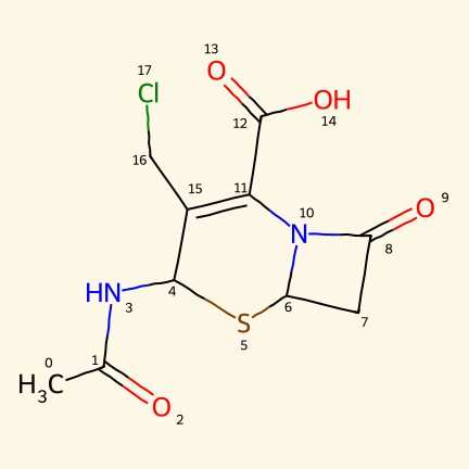 CC(=O)NC1SC2CC(=O)N2C(C(=O)O)=C1CCl